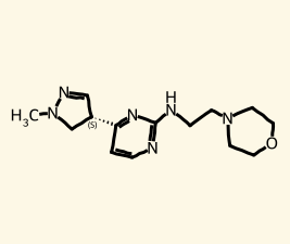 CN1C[C@@H](c2ccnc(NCCN3CCOCC3)n2)C=N1